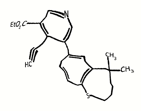 C#Cc1c(C(=O)OCC)cncc1-c1ccc2c(c1)C(C)(C)CCS2